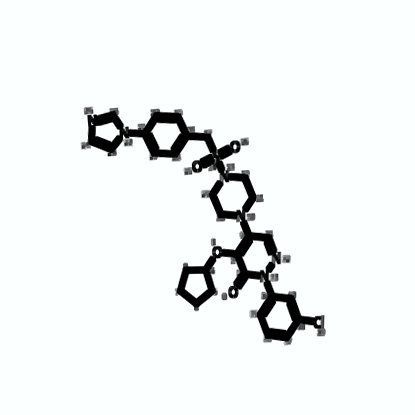 O=c1c(OC2CCCC2)c(N2CCN(S(=O)(=O)Cc3ccc(-n4ccnc4)cc3)CC2)cnn1-c1cccc(Cl)c1